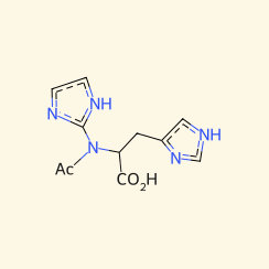 CC(=O)N(c1ncc[nH]1)C(Cc1c[nH]cn1)C(=O)O